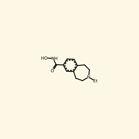 CCN1CCc2ccc(C(=O)NO)cc2CC1